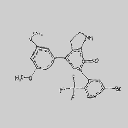 COc1cc(OC)cc(-c2cn(-c3cc(Br)ccc3C(F)(F)F)c(=O)c3c2CCN3)c1